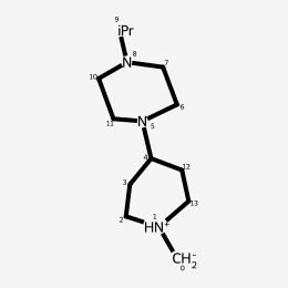 [CH2-][NH+]1CCC(N2CCN(C(C)C)CC2)CC1